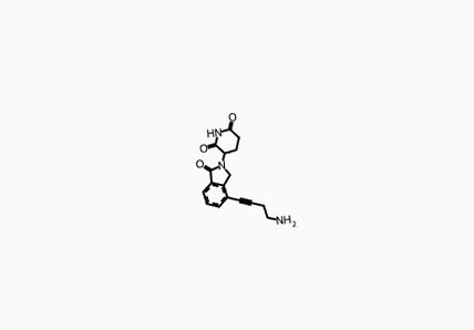 NCCC#Cc1cccc2c1CN(C1CCC(=O)NC1=O)C2=O